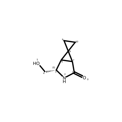 O=C1N[C@H](CO)C2C1C21CC1